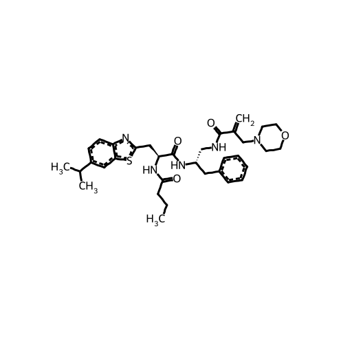 C=C(CN1CCOCC1)C(=O)NC[C@H](Cc1ccccc1)NC(=O)[C@H](Cc1nc2ccc(C(C)C)cc2s1)NC(=O)CCC